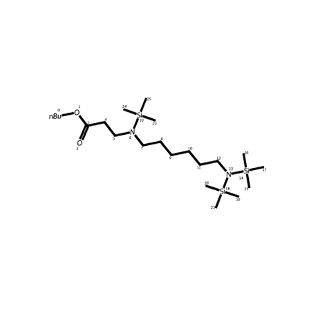 CCCCOC(=O)CCN(CCCCCCN([Si](C)(C)C)[Si](C)(C)C)[Si](C)(C)C